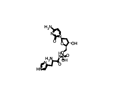 Nc1ccn([C@H]2C[C@H](O)[C@@H](COP(=O)(O)NC(=O)[C@@H](N)Cc3c[nH]cn3)O2)c(=O)n1